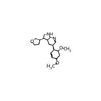 COC1C=CC(C2C=NC3NCC(C4CCOC4)C3C2)C(OC)C1